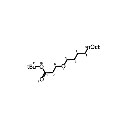 CCCCCCCCCCCCOCCC(=O)OC(C)(C)C